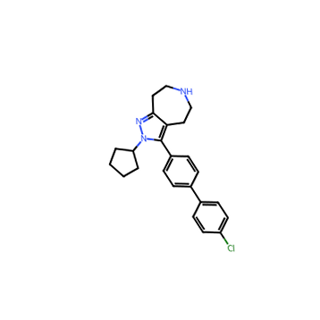 Clc1ccc(-c2ccc(-c3c4c(nn3C3CCCC3)CCNCC4)cc2)cc1